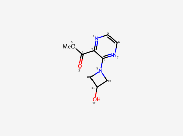 COC(=O)c1nccnc1N1CC(O)C1